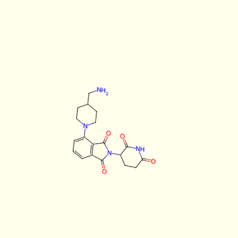 NCC1CCN(c2cccc3c2C(=O)N(C2CCC(=O)NC2=O)C3=O)CC1